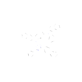 c1ccc(-c2nc(-c3ccc4ccccc4c3)nc(-n3c4cc(-n5c6ccccc6c6c7ccccc7ccc65)ccc4c4cc5ccccc5cc43)n2)cc1